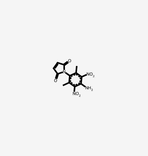 Cc1c(N2C(=O)C=CC2=O)c(C)c([N+](=O)[O-])c(N)c1[N+](=O)[O-]